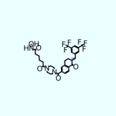 O=C(CCCCC(=O)N1CCN(C(=O)c2ccc3c(c2)CC/C(=C\c2cc(C(F)(F)F)cc(C(F)(F)F)c2)C3=O)CC1)NO